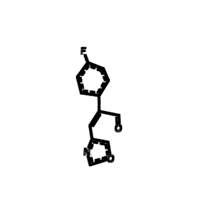 O=CC(=Cc1cocn1)c1ccc(F)cc1